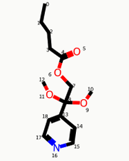 CCCCC(=O)OCC(OC)(OC)c1ccncc1